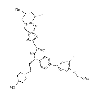 COCOc1cnc(-c2ccc([C@@H](CCN3CCC(O)CC3)NC(=O)c3nc4cc5c(nc4s3)[C@@H](C)CC(C(C)(C)C)C5)cc2)cc1F